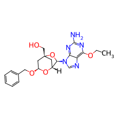 CCOc1nc(N)nc2c1ncn2[C@@H]1O[C@@]2(CO)C[C@H](OCc3ccccc3)O[C@@H]1C2